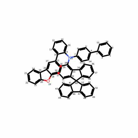 c1ccc(-c2ccc(N(c3ccccc3-c3ccc4oc5ccccc5c4c3)c3cccc4c3-c3ccccc3C43c4ccccc4-c4ccccc43)cc2)cc1